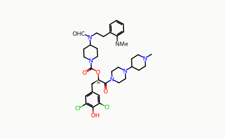 CNc1ccccc1CCN(C=O)C1CCN(C(=O)O[C@H](Cc2cc(Cl)c(O)c(Cl)c2)C(=O)N2CCN(C3CCN(C)CC3)CC2)CC1